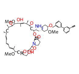 C#Cc1cccc(-c2cccc(CO[C@@H]3CC[C@@H](C[C@@H](N)[C@@H]4CC(=O)[C@H](C)/C=C(\C)[C@@H](O)[C@@H](OC)C(=O)[C@H](C)C[C@H](C)/C=C/C=C/C=C(\C)[C@@H](OC)C[C@@H]5CC[C@@H](C)[C@@](O)(O5)C(=O)C(=O)N5CCCC[C@H]5C(=O)O4)C[C@H]3OC)c2)c1